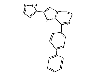 [c]1cnc(-c2ccc(-c3ccccc3)cc2)c2sc(-c3cnn[nH]3)cc12